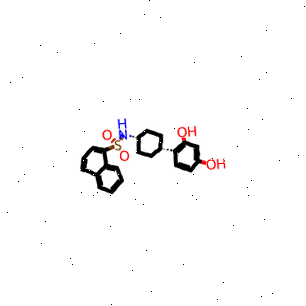 O=S(=O)(N[C@H]1CC[C@@H](c2ccc(O)cc2O)CC1)c1cccc2ccccc12